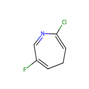 FC1=CCC=C(Cl)N=C1